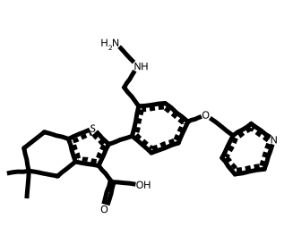 CC1(C)CCc2sc(-c3ccc(Oc4cccnc4)cc3CNN)c(C(=O)O)c2C1